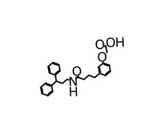 O=C(O)COc1cccc(CCCC(=O)NCCC(c2ccccc2)c2ccccc2)c1